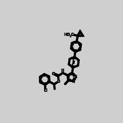 Cc1nsc(C23CCC(c4ccc(C5(C(=O)O)CC5)cc4)(CC2)CC3)c1NC(=O)OC(C)c1ccccc1Cl